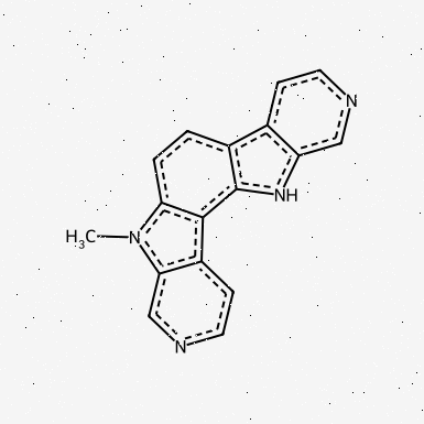 Cn1c2cnccc2c2c3[nH]c4cnccc4c3ccc21